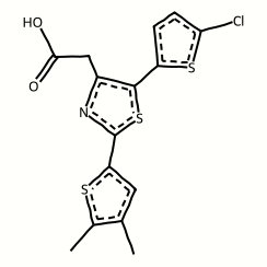 Cc1cc(-c2nc(CC(=O)O)c(-c3ccc(Cl)s3)s2)sc1C